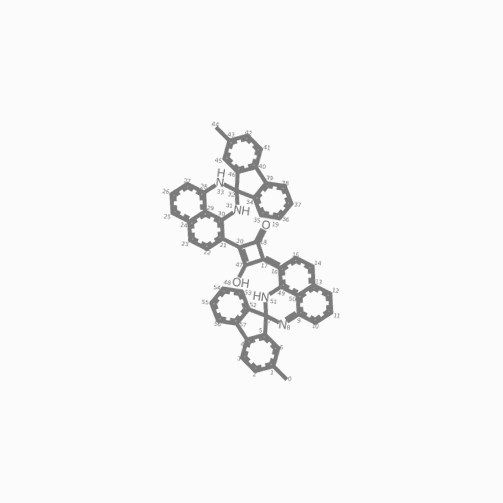 Cc1ccc2c(c1)C1(N=c3cccc4cc/c(=C5\C(=O)C(c6ccc7cccc8c7c6NC6(N8)c7ccccc7-c7ccc(C)cc76)=C5O)c(c34)N1)c1ccccc1-2